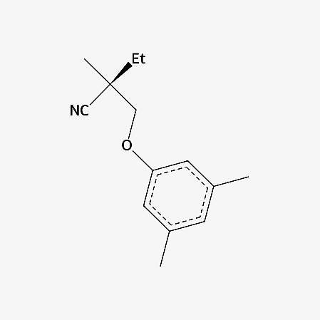 CC[C@](C)(C#N)COc1cc(C)cc(C)c1